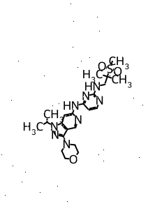 CC(C)n1nc(N2CCOCC2)c2cnc(Nc3ccnc(NCC(C)(C)S(C)(=O)=O)n3)cc21